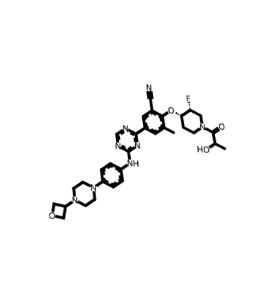 Cc1cc(-c2ncnc(Nc3ccc(N4CCN(C5COC5)CC4)cc3)n2)cc(C#N)c1O[C@H]1CCN(C(=O)C(C)O)C[C@H]1F